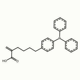 C=C(CCCCc1ccc(N(c2ccccc2)c2ccccc2)cc1)C(=O)O